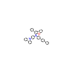 CN(c1ccc(N(c2ccc(-c3ccc(-c4ccccc4)cc3)cc2)c2cc(-c3ccccc3)cc3c2oc2ccccc23)cc1)c1ccccc1-c1ccccc1